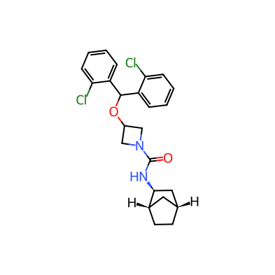 O=C(N[C@H]1C[C@@H]2CC[C@H]1C2)N1CC(OC(c2ccccc2Cl)c2ccccc2Cl)C1